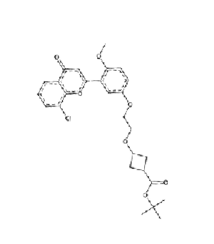 COc1ccc(OCCOC2CC(C(=O)OC(C)(C)C)C2)cc1-c1cc(=O)c2cccc(Cl)c2o1